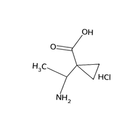 CC(N)C1(C(=O)O)CC1.Cl